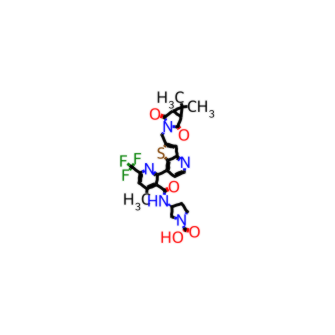 Cc1cc(C(F)(F)F)nc(-c2ccnc3cc(CN4C(=O)C5C(C4=O)C5(C)C)sc23)c1C(=O)N[C@H]1CCN(C(=O)O)C1